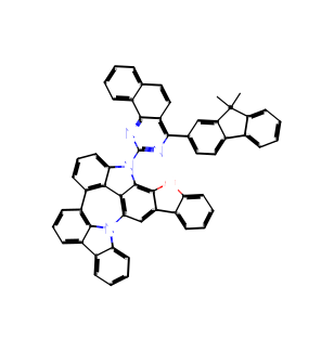 CC1(C)c2ccccc2-c2ccc(-c3nc(-n4c5cccc6c7cccc8c9ccccc9n(c9cc%10c%11ccccc%11oc%10c4c9c65)c78)nc4c3ccc3ccccc34)cc21